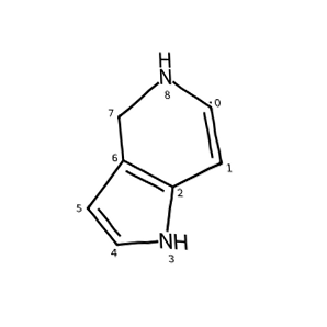 [C]1=Cc2[nH]ccc2CN1